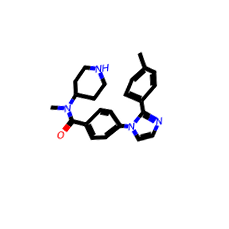 Cc1ccc(-c2nccn2-c2ccc(C(=O)N(C)C3CCNCC3)cc2)cc1